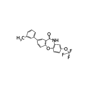 Cc1cccc(-c2ccc3c(c2)C(=O)Nc2cc(OC(F)(F)F)ccc2O3)c1